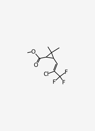 COC(=O)C1C(C=C(Cl)C(F)(F)F)C1(C)C